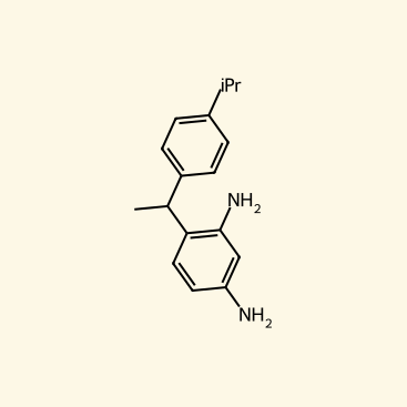 CC(C)c1ccc(C(C)c2ccc(N)cc2N)cc1